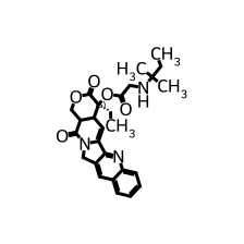 CCC(C)(C)NCC(=O)O[C@]1(CC)C(=O)OCC2C(=O)N3Cc4cc5ccccc5nc4C3=CC21